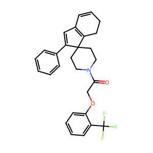 O=C(COc1ccccc1C(F)(F)F)N1CCC2(CC1)C(c1ccccc1)=CC1=C2CCC=C1